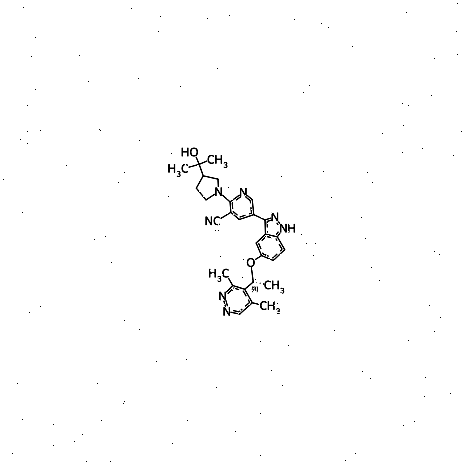 Cc1cnnc(C)c1[C@@H](C)Oc1ccc2[nH]nc(-c3cnc(N4CCC(C(C)(C)O)C4)c(C#N)c3)c2c1